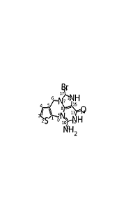 Cc1sccc1CN1c2nc(N)[nH]c(=O)c2NC1Br